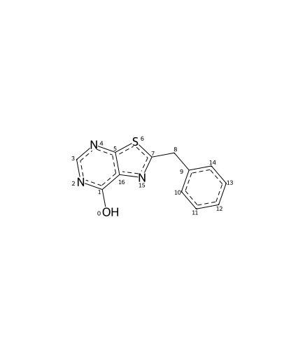 Oc1ncnc2sc(Cc3ccccc3)nc12